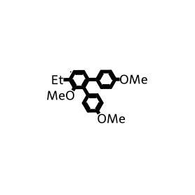 CCc1[c]cc(-c2ccc(OC)cc2)c(-c2ccc(OC)cc2)c1OC